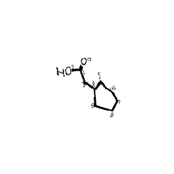 O=C(O)CC1C[CH]CCC1